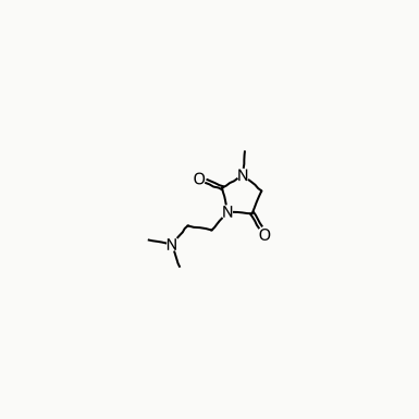 CN(C)CCN1C(=O)CN(C)C1=O